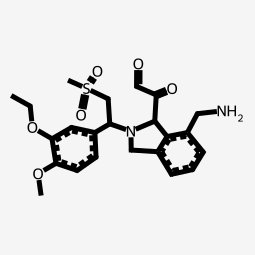 CCOc1cc(C(CS(C)(=O)=O)N2Cc3cccc(CN)c3C2C(=O)C=O)ccc1OC